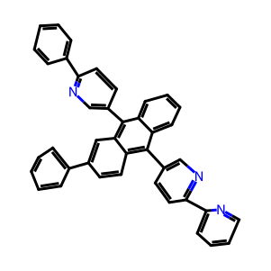 c1ccc(-c2ccc3c(-c4ccc(-c5ccccn5)nc4)c4ccccc4c(-c4ccc(-c5ccccc5)nc4)c3c2)cc1